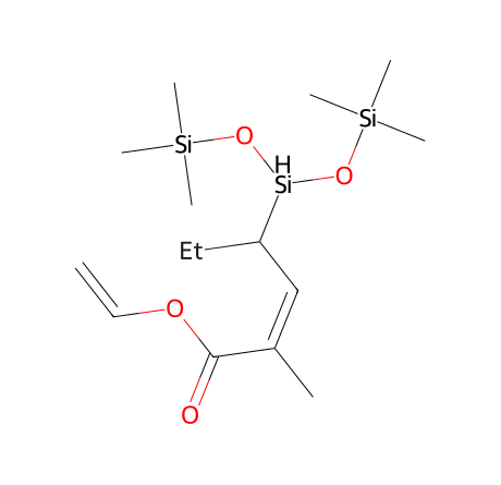 C=COC(=O)C(C)=CC(CC)[SiH](O[Si](C)(C)C)O[Si](C)(C)C